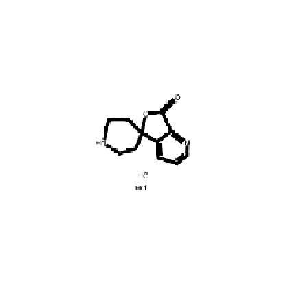 Cl.Cl.O=C1OC2(CCNCC2)c2cccnc21